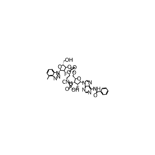 Cc1cccc2c1nnn2[C@@H]1O[C@H](CO)[C@@H](OP(=O)(OCCC#N)OC[C@H]2O[C@@H](n3cnc4c(NC(=O)c5ccccc5)ncnc43)[C@H](F)[C@@H]2O[PH](=O)O)[C@H]1F